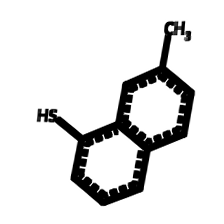 Cc1ccc2cccc(S)c2c1